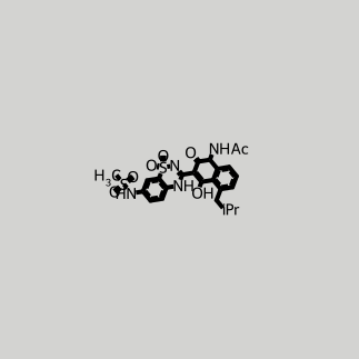 CC(=O)NC1C(=O)C(C2=NS(=O)(=O)c3cc(NS(C)(=O)=O)ccc3N2)=C(O)c2c(CC(C)C)cccc21